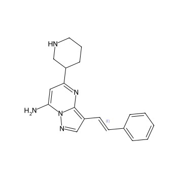 Nc1cc(C2CCCNC2)nc2c(/C=C/c3ccccc3)cnn12